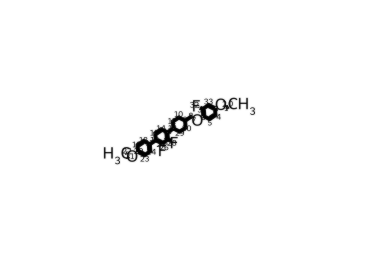 CCOc1ccc(OCC2CCC(c3ccc(-c4ccc(OC)cc4)c(F)c3F)CC2)c(F)c1